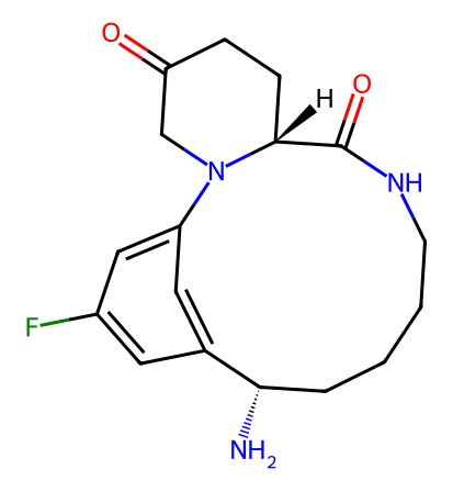 N[C@H]1CCCCNC(=O)[C@H]2CCC(=O)CN2c2cc(F)cc1c2